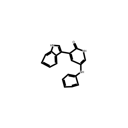 O=c1[nH]cc(Nc2ccccc2)cc1-c1c[nH]c2ccccc12